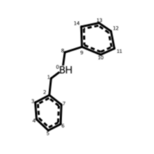 B(Cc1ccccc1)Cc1ccccc1